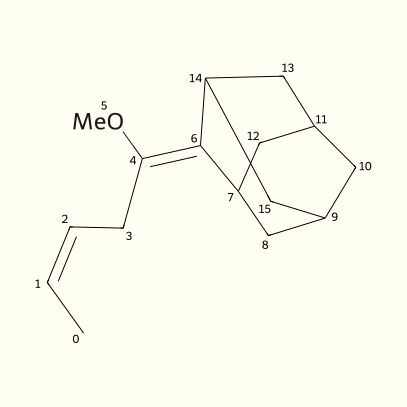 C/C=C\CC(OC)=C1C2CC3CC(C2)CC1C3